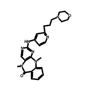 CN1C(=O)c2ccccc2N(C)c2nc(Nc3ccnc(CCCN4CCOCC4)c3)ncc21